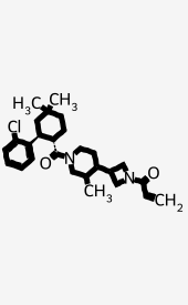 C=CC(=O)N1CC(C2CCN(C(=O)[C@H]3CCC(C)(C)C[C@@H]3c3ccccc3Cl)CC2C)C1